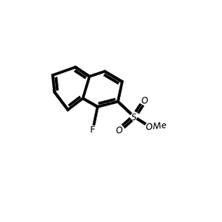 COS(=O)(=O)c1ccc2ccccc2c1F